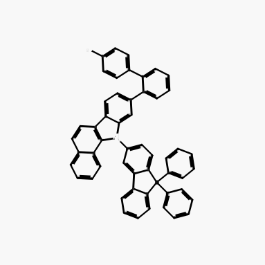 Brc1ccc(-c2ccccc2-c2ccc3c4ccc5ccccc5c4n(-c4ccc5c(c4)-c4ccccc4C5(c4ccccc4)c4ccccc4)c3c2)cc1